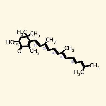 CC(C)=C/C=C/C=C(C)/C=C/C=C(C)/C=C/C1=C(C)C(=O)[C@@H](O)CC1(C)C